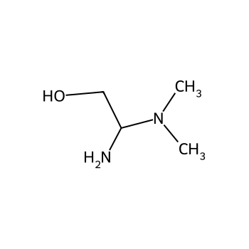 CN(C)C(N)CO